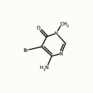 Cn1cnc(N)c(Br)c1=O